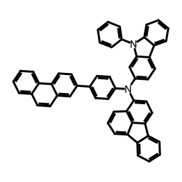 c1ccc(-n2c3ccccc3c3ccc(N(c4ccc(-c5ccc6c(ccc7ccccc76)c5)cc4)c4ccc5c6c(cccc46)-c4ccccc4-5)cc32)cc1